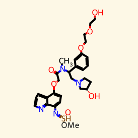 CO[SH](=O)=Nc1ccc(OCC(=O)N(C)C(CN2CC[C@H](O)C2)c2cccc(OCCOCCO)c2)c2cccnc12